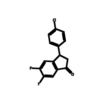 O=C1CC(c2ccc(Cl)cc2)c2cc(F)c(F)cc21